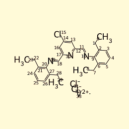 CCc1cccc(CC)c1N=Cc1cc(Cl)cc(C=Nc2c(CC)cccc2CC)n1.[Cl-].[Cl-].[V+2]